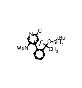 CNc1cnc(Cl)cc1-c1ccccc1C(C)(C)O[SiH2]C(C)(C)C